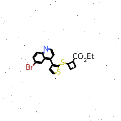 CCOC(=O)C1CCC1Sc1sccc1-c1ccnc2ccc(Br)cc12